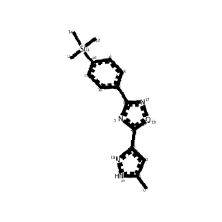 Cc1cc(-c2nc(-c3ccc([Si](C)(C)C)cc3)no2)n[nH]1